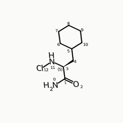 NC(=O)[C@H](CC1CCCCC1)NCl